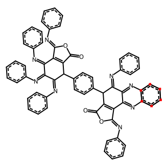 O=C1OC(=Nc2ccccc2)C2=C1C(c1ccc(C3C(=Nc4ccccc4)C(=Nc4ccccc4)C(=Nc4ccccc4)C4=C3C(=O)OC4=Nc3ccccc3)cc1)C(=Nc1ccccc1)C(=Nc1ccccc1)C2=Nc1ccccc1